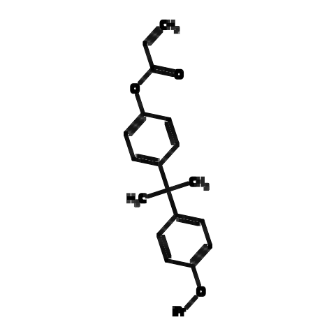 C=CC(=O)Oc1ccc(C(C)(C)c2ccc(OC(C)C)cc2)cc1